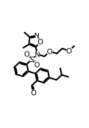 COCCOCN(c1onc(C)c1C)S(=O)(=O)c1ccccc1-c1ccc(CC(C)C)cc1C=O